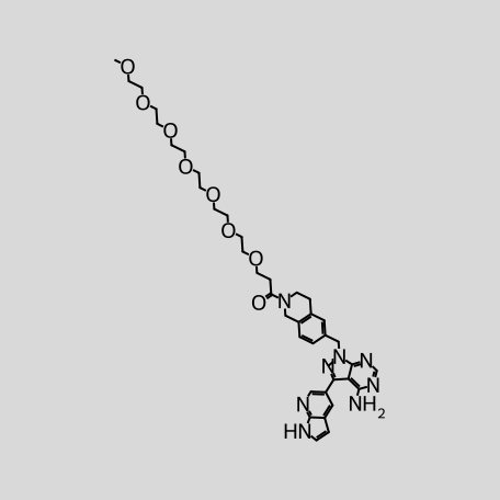 COCCOCCOCCOCCOCCOCCOCCC(=O)N1CCc2cc(Cn3nc(-c4cnc5[nH]ccc5c4)c4c(N)ncnc43)ccc2C1